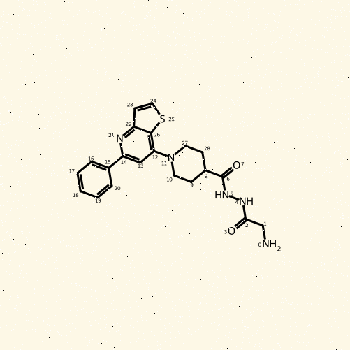 NCC(=O)NNC(=O)C1CCN(c2cc(-c3ccccc3)nc3ccsc23)CC1